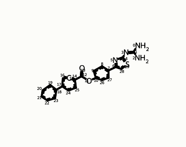 NC(N)=Nc1nc(-c2ccc(OC(=O)c3ccc(-c4ccccc4)cc3)cc2)cs1